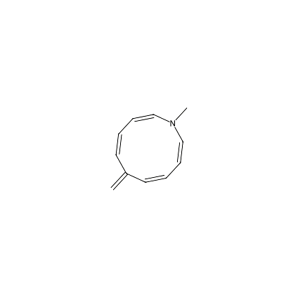 C=C1/C=C\C=C/N(C)/C=C\C=C/1